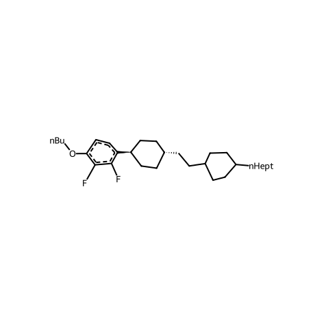 CCCCCCCC1CCC(CC[C@H]2CC[C@H](c3ccc(OCCCC)c(F)c3F)CC2)CC1